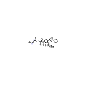 C=N/C=C\C=C(\F)CCNC(=O)Nc1ccc(-c2cnc(C3CCCCC3)s2)c(SNC(C)(C)C)c1